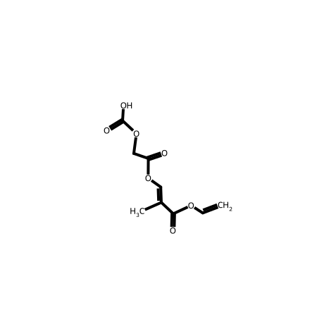 C=COC(=O)C(C)=COC(=O)COC(=O)O